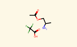 CC(=O)OCC(C)N.O=C(O)C(F)(F)F